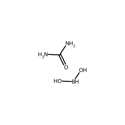 NC(N)=O.OBO